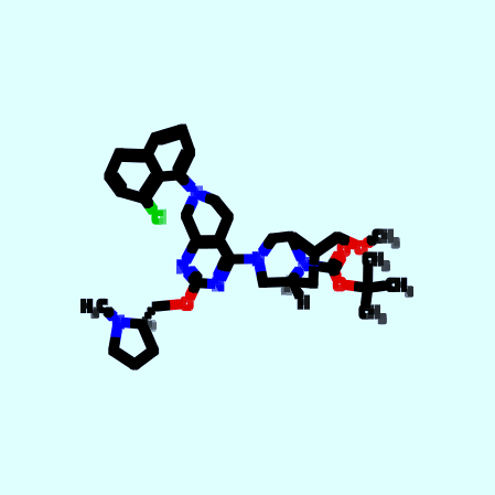 COCC1C[C@@H]2CN(c3nc(OC[C@@H]4CCCN4C)nc4c3CCN(c3cccc5cccc(Cl)c35)C4)CC1N2C(=O)OC(C)(C)C